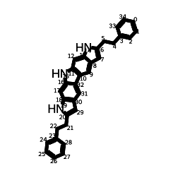 c1ccc(CCc2cc3cc4c(cc3[nH]2)[nH]c2cc3[nH]c(CCc5ccccc5)cc3cc24)cc1